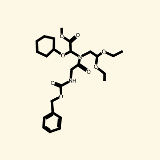 CCOC(CN(C(=O)CNC(=O)OCc1ccccc1)C(OC1CCCCC1)C(=O)OC)OCC